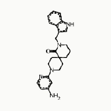 Nc1ccnc(N2CCC3(CCCN(Cc4c[nH]c5ccccc45)C3=O)CC2)c1